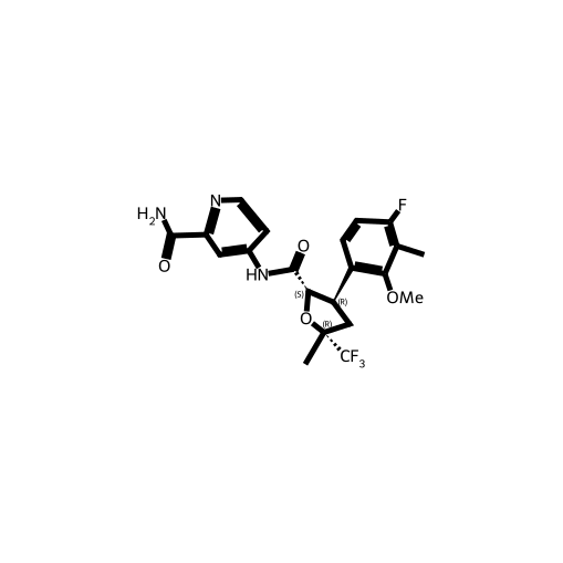 COc1c([C@H]2C[C@](C)(C(F)(F)F)O[C@@H]2C(=O)Nc2ccnc(C(N)=O)c2)ccc(F)c1C